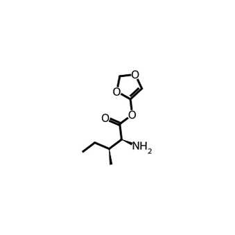 CC[C@H](C)[C@H](N)C(=O)OC1=COCO1